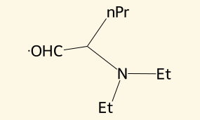 CCCC([C]=O)N(CC)CC